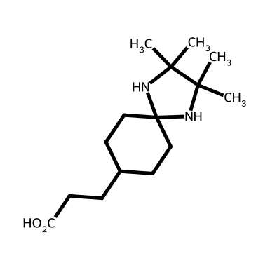 CC1(C)NC2(CCC(CCC(=O)O)CC2)NC1(C)C